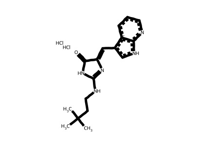 CC(C)(C)CCNC1=N/C(=C\c2c[nH]c3ncccc23)C(=O)N1.Cl.Cl